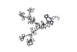 C/C1=C/c2ccccc2CN(C(=O)CCC(=O)NC(COCCC(=O)NC(COCCC(=O)N2CCSC2=S)COCCC(=O)N2CCSC2=S)COCCC(=O)NC(COCCC(=O)N2CCSC2=S)COCCC(=O)N2CCSC2=S)c2ccccc21